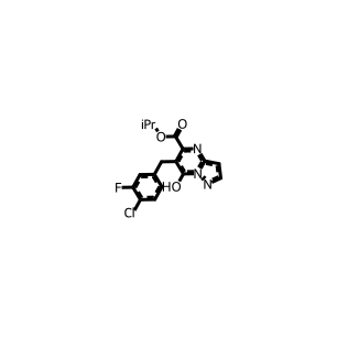 CC(C)OC(=O)c1nc2ccnn2c(O)c1Cc1ccc(Cl)c(F)c1